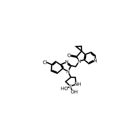 O=C1N(Cc2nc3cc(Cl)ccc3n2C2CNS(O)(O)C2)c2cnccc2C12CC2